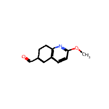 COc1ccc2c(n1)CCC(C=O)C2